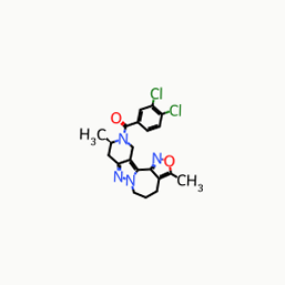 Cc1onc2c1CCCn1nc3c(c1-2)CN(C(=O)c1ccc(Cl)c(Cl)c1)[C@H](C)C3